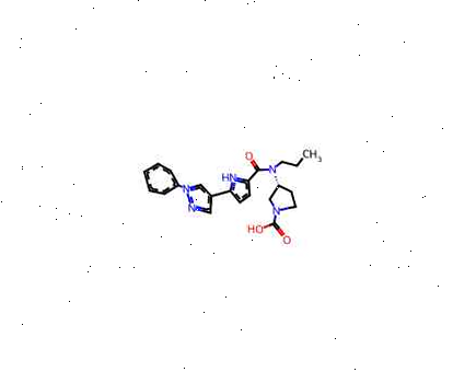 CCCN(C(=O)c1ccc(-c2cnn(-c3ccccc3)c2)[nH]1)[C@@H]1CCN(C(=O)O)C1